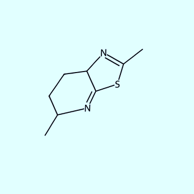 CC1=NC2CCC(C)N=C2S1